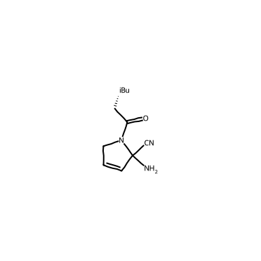 CC[C@@H](C)CC(=O)N1CC=CC1(N)C#N